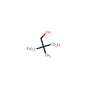 CCOC(=O)C(C)(CO)C(=O)OCC